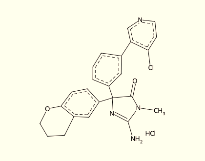 CN1C(=O)C(c2cccc(-c3cnccc3Cl)c2)(c2ccc3c(c2)CCCO3)N=C1N.Cl